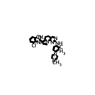 Cc1cc(N2CCN(C)CC2)ccc1Nc1ncc2c(n1)-n1ccc(C(=O)Nc3c(C)cccc3Cl)c1CC2